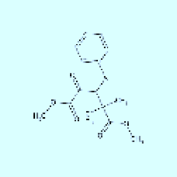 COC(=O)C(=O)C(Sc1ccccc1)C(C)(C)C(=O)OC